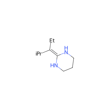 CCC(=C1NCCCN1)C(C)C